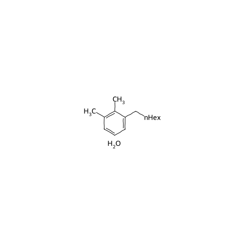 CCCCCCCc1cccc(C)c1C.O